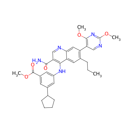 CCCc1cc2c(Nc3cc(C(=O)OC)cc(C4CCCC4)c3)c(C(N)=O)cnc2cc1-c1cnc(OC)nc1OC